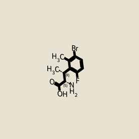 Cc1c(Br)ccc(F)c1[C@@H](C)[C@H](N)C(=O)O